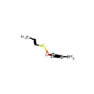 BB=BOSC=CC